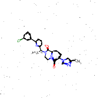 Cc1cn(-c2ccc3n(c2=O)CCN([C@@H](C)c2cccc(-c4cccc(Cl)c4)n2)C3=O)cn1